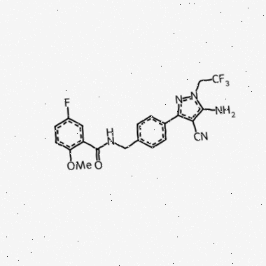 COc1ccc(F)cc1C(=O)NCc1ccc(-c2nn(CC(F)(F)F)c(N)c2C#N)cc1